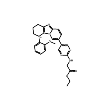 CCOC(=O)CNc1ncc(-c2ccc3nc4c(n3c2)[C@@H](c2ccccc2OC)CCC4)cn1